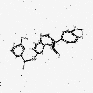 COc1cc([C@H](C)Nc2cc3c(=O)c(-c4ccc5c(c4)OCO5)coc3cn2)ccn1